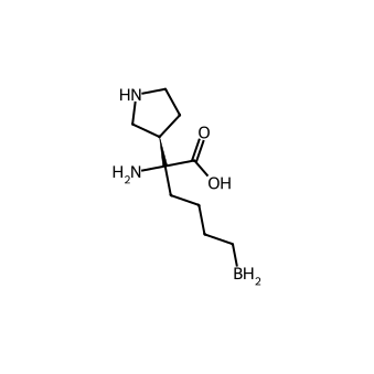 BCCCCC(N)(C(=O)O)[C@@H]1CCNC1